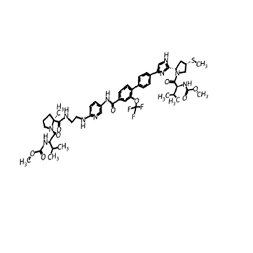 COC(=O)N[C@H](C(=O)N1C[C@@H](SC)C[C@H]1c1nc(-c2ccc(-c3ccc(C(=O)Nc4ccc(NCCNC(=O)[C@]5(C)CCCN5C(=O)[C@@H](NC(=O)OC)C(C)C)nc4)cc3OC(F)(F)F)cc2)c[nH]1)C(C)C